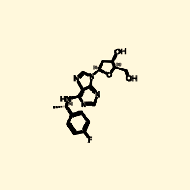 C[C@H](Nc1ncnc2c1ncn2[C@H]1CC(O)[C@@H](CO)O1)c1ccc(F)cc1